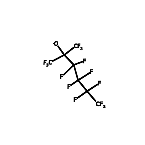 [O]C(C(F)(F)F)(C(F)(F)F)C(F)(F)C(F)(F)C(F)(F)C(F)(F)F